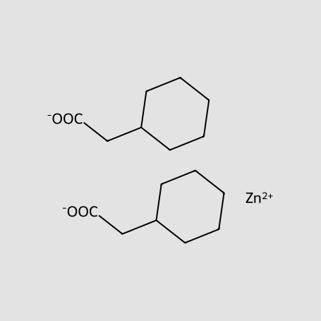 O=C([O-])CC1CCCCC1.O=C([O-])CC1CCCCC1.[Zn+2]